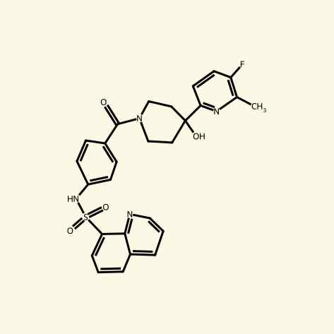 Cc1nc(C2(O)CCN(C(=O)c3ccc(NS(=O)(=O)c4cccc5cccnc45)cc3)CC2)ccc1F